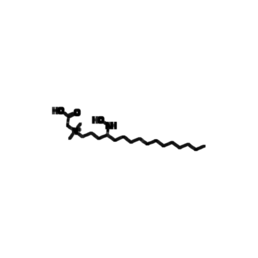 CCCCCCCCCCCCC(CCC[N+](C)(C)CC(=O)O)NO